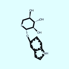 O[C@@H]1[C@@H](O)[C@H](Oc2ccc3[nH]ccc3c2)SC[C@H]1O